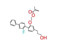 C=C(C)C(=O)OCCOc1cc(CCCO)ccc1-c1ccc(-c2ccccc2)cc1F